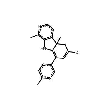 Cc1ccc(C2=C3Nc4c(ccnc4C)C3(C)CC(Cl)=C2)cn1